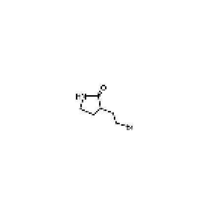 O=C1NCCC1CCBr